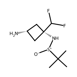 CC(C)(C)[S+]([O-])N[C@]1(C(F)F)C[C@H](N)C1